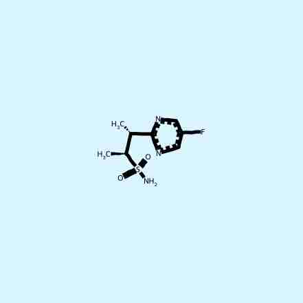 C[C@H](c1ncc(F)cn1)[C@H](C)S(N)(=O)=O